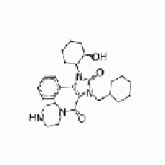 O=C(c1c(-c2ccccc2)n(C2CCCC[C@H]2O)c(=O)n1CC1CCCCC1)N1CCNCC1